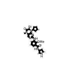 CC[C@@H]1C(=O)N(C)c2cnc(Nc3cccc(C(=O)NC4CCNC4)c3OC)nc2N1C1CCCC1